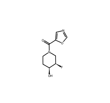 O=C(c1cnco1)N1CC[C@H](O)[C@H](F)C1